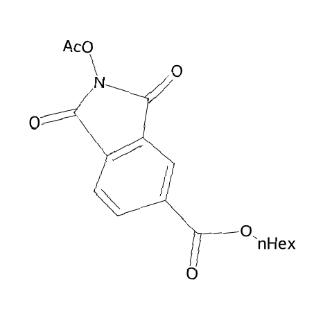 CCCCCCOC(=O)c1ccc2c(c1)C(=O)N(OC(C)=O)C2=O